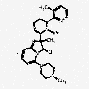 Cc1cccnc1[C@@H]1CCC[C@H](C2(C)N=C3C=CC=C(N4CCN(C)CC4)N3C2Cl)N1C(C)C